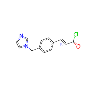 O=C(Cl)/C=C/c1ccc(Cn2ccnc2)cc1